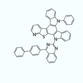 c1ccc(-c2ccc(-c3nc(-n4c5ccccc5c5c4c4sc6ncccc6c4c4c6ccccc6n(-c6ccccc6)c45)nc4ccccc34)cc2)cc1